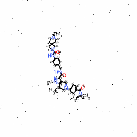 CC(C)n1nc(C(=O)NCc2ccc(NC(=O)N3CCC4(CCN(C)CC4)C3)cc2)c2c1[C@@H](C)CN(c1ccc(C(=O)N(C)C)cc1)C2